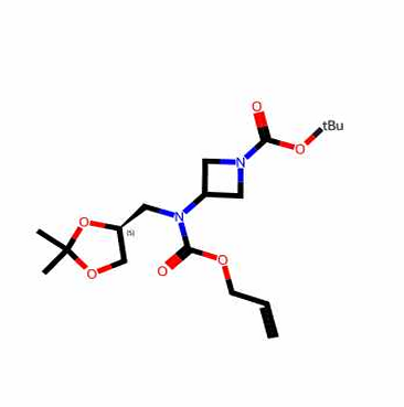 C=CCOC(=O)N(C[C@H]1COC(C)(C)O1)C1CN(C(=O)OC(C)(C)C)C1